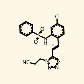 N#CCCn1nnnc1/C=C/c1ccc(Cl)cc1NS(=O)(=O)c1ccccc1